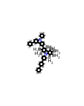 Bc1c(B)c(B)c2c(c1B)c1c(B)c(-c3ccc4c(c3)c3cc(-c5ccccc5)ccc3n4-c3ccccc3)c(B)c(B)c1n2-c1ccc(-c2ccc(-c3ccccc3)cc2)cc1